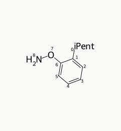 CCCC(C)c1ccccc1ON